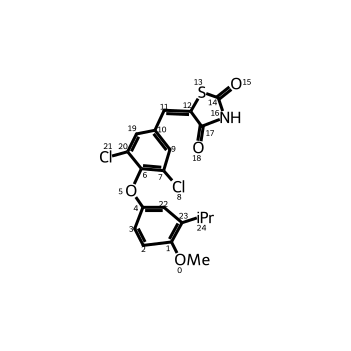 COc1ccc(Oc2c(Cl)cc(C=C3SC(=O)NC3=O)cc2Cl)cc1C(C)C